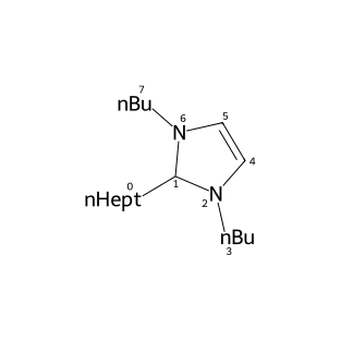 CCCCCCCC1N(CCCC)C=CN1CCCC